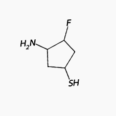 NC1CC(S)CC1F